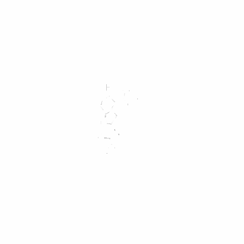 CC(C)(C)OC(=O)Nc1cc2c(B3OCC(C)(C)O3)c(F)ccc2o1